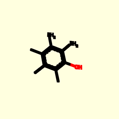 Bc1c(B)c(O)c(C)c(C)c1C